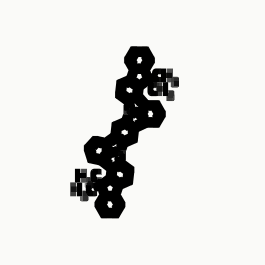 CC1(C)c2ccccc2-c2ccc3c(c21)c1cccc2c4cc5c(cc4n3c21)c1cccc2c3c4c(ccc3n5c12)-c1ccccc1C4(C)C